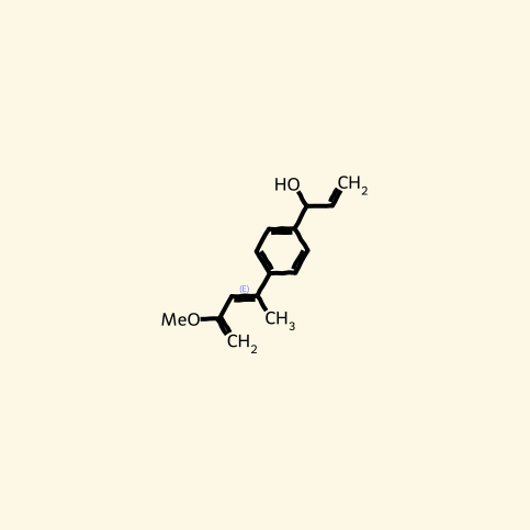 C=CC(O)c1ccc(/C(C)=C/C(=C)OC)cc1